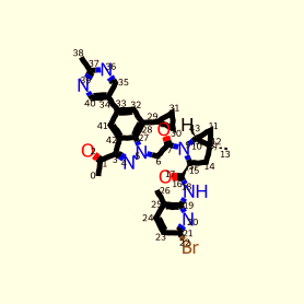 CC(=O)c1nn(CC(=O)N2[C@H]3C[C@@]3(C)C[C@H]2C(=O)Nc2nc(Br)ccc2C)c2c(C3CC3)cc(-c3cnc(C)nc3)cc12